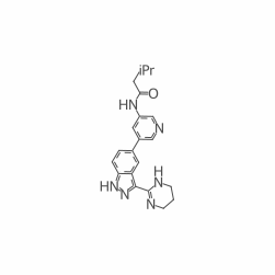 CC(C)CC(=O)Nc1cncc(-c2ccc3[nH]nc(C4=NCCCN4)c3c2)c1